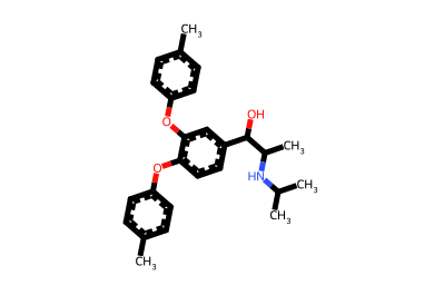 Cc1ccc(Oc2ccc(C(O)C(C)NC(C)C)cc2Oc2ccc(C)cc2)cc1